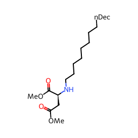 CCCCCCCCCCCCCCCCCCN[C@@H](CC(=O)OC)C(=O)OC